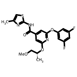 COC[C@@H](C)Oc1cc(C(=O)Nc2nc(C)cs2)cc(Oc2cc(F)cc(F)c2)n1